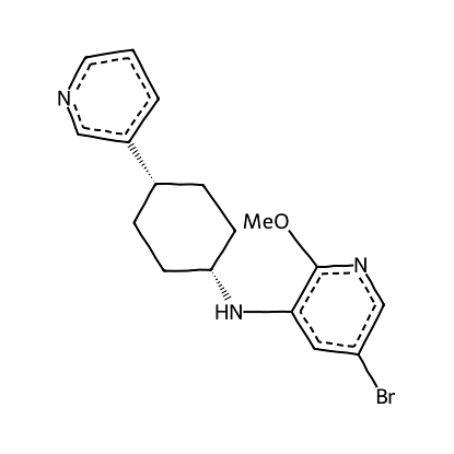 COc1ncc(Br)cc1N[C@H]1CC[C@@H](c2cccnc2)CC1